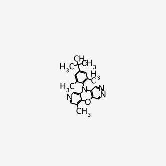 Cc1cncc2c1Oc1cnncc1N2c1c(C)cc(C(C)(C)C)cc1C